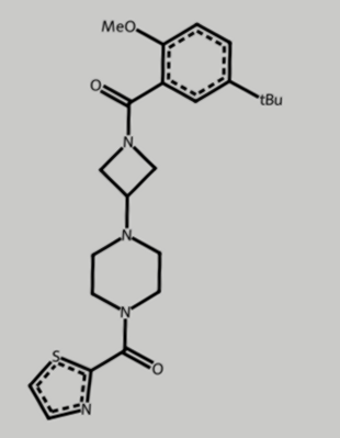 COc1ccc(C(C)(C)C)cc1C(=O)N1CC(N2CCN(C(=O)c3nccs3)CC2)C1